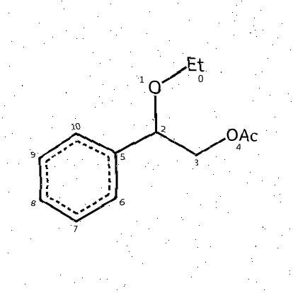 CCOC(COC(C)=O)c1ccccc1